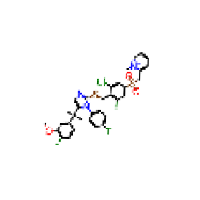 COc1cc(C(C)(C)c2cnc(SCc3c(F)cc(S(=O)(=O)Cc4cccc[n+]4C)cc3Cl)n2-c2ccc(F)cc2)ccc1F